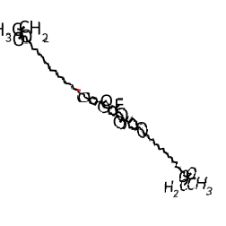 C=C(C)C(=O)OCCCCCCCCCCCCCCCCCCOc1ccc(C(=O)Oc2ccc(OC(=O)c3ccc(OCCCCCCCCCCCCCCCCCCOC(=O)C(=C)C)cc3)c(F)c2)cc1